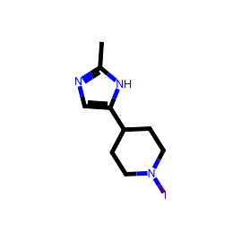 Cc1ncc(C2CCN(I)CC2)[nH]1